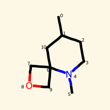 CC1CCN(C)C2(COC2)C1